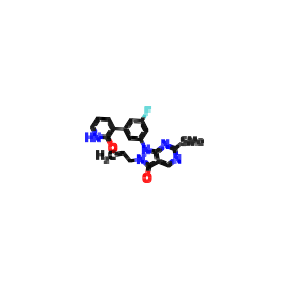 C=CCn1c(=O)c2cnc(SC)nc2n1-c1cc(F)cc(-c2ccc[nH]c2=O)c1